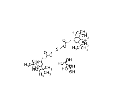 CC(C)(C)c1cc(CCC(=O)OCCSCCOC(=O)CCc2cc(C(C)(C)C)c(O)c(C(C)(C)C)c2)cc(C(C)(C)C)c1O.OP(O)O.OP(O)O